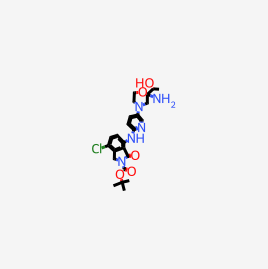 CC(O)C1(N)CN(c2ccc(Nc3ccc(Cl)c4c3C(=O)N(C(=O)OC(C)(C)C)C4)nc2)CCO1